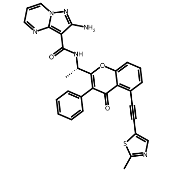 Cc1ncc(C#Cc2cccc3oc([C@H](C)NC(=O)c4c(N)nn5cccnc45)c(-c4ccccc4)c(=O)c23)s1